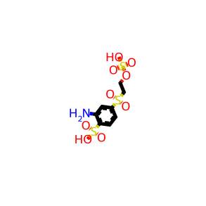 Nc1cc(S(=O)(=O)CCOS(=O)(=O)O)ccc1S(=O)(=O)O